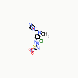 CCN(CC[N+]12CCN(CC1)CC2)c1ccc(/N=N/c2ncc([N+](=O)[O-])s2)c(Cl)c1